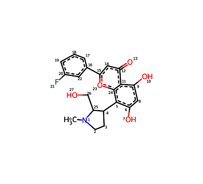 CN1CCC(c2c(O)cc(O)c3c(=O)cc(-c4cccc(F)c4)oc23)C1CO